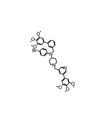 COc1cc(-c2cncc(CN3CCC(N(Cc4cccc(-c5cc(OC)c(OC)c(OC)c5)c4)c4ccc(Br)cc4)CC3)c2)cc(OC)c1OC